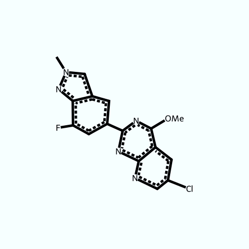 COc1nc(-c2cc(F)c3nn(C)cc3c2)nc2ncc(Cl)cc12